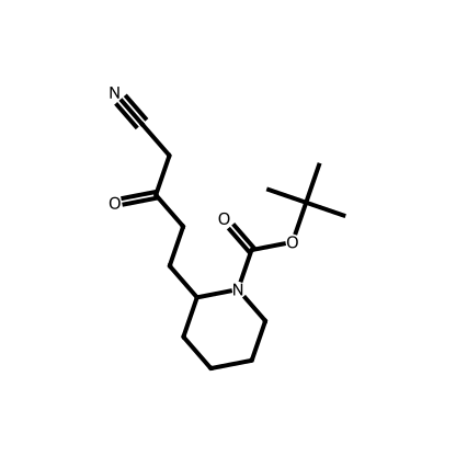 CC(C)(C)OC(=O)N1CCCCC1CCC(=O)CC#N